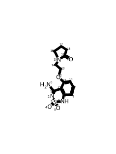 NC1=NS(=O)(=O)Nc2cccc(OCCN3CCCC3=O)c21